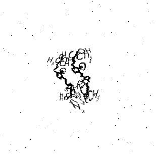 CC(C)(C)CC(O)CC1=CC=C(C=CC2=CC=C(CCCC(C)(C)CO)C2=O)C1=O.CC(C)(CO)CCCC1=CC=C(C=CC2=CC=C(CCCC(C)(C)C(=O)O)C2=O)C1=O